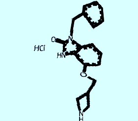 Cl.O=c1[nH]c2c(OCC3CNC3)cccc2n1Cc1ccccc1